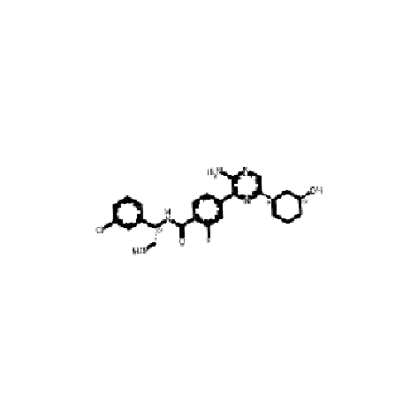 Nc1ncc([C@@H]2CCC[C@H](O)C2)nc1-c1ccc(C(=O)N[C@H](CO)c2cccc(Cl)c2)c(F)c1